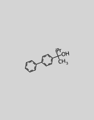 CC(C)C(C)(O)c1ccc(-c2ccccc2)cc1